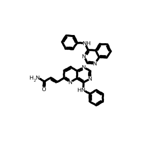 NC(=O)C=Cc1ccc2ncnc(Nc3ccccc3)c2n1.c1ccc(Nc2ncnc3ccccc23)cc1